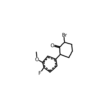 COc1cc(C2CCCC(Br)C2=O)ccc1F